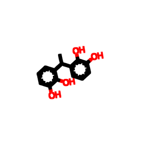 CC(c1cccc(O)c1O)c1cccc(O)c1O